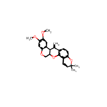 C=C1c2ccc3c(c2OC2COc4cc(OC)c(OC)cc4C12)C=CC(C)(C)O3